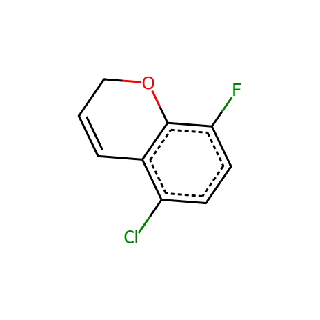 Fc1ccc(Cl)c2c1OCC=C2